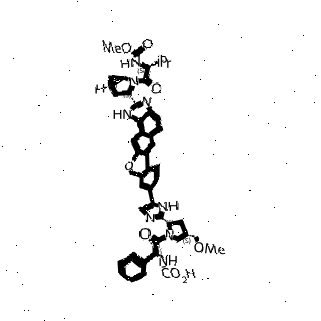 COC[C@H]1C[C@@H](c2ncc(-c3ccc4c(c3)COc3cc5c(ccc6nc([C@@H]7C[C@H]8CC8N7C(=O)[C@@H](NC(=O)OC)C(C)C)[nH]c65)cc3-4)[nH]2)N(C(=O)[C@H](NC(=O)O)c2ccccc2)C1